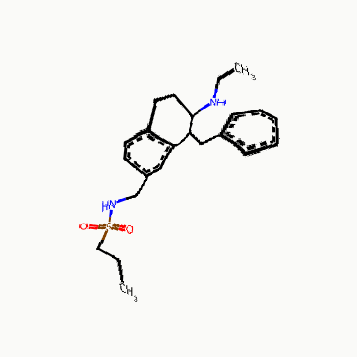 CCCS(=O)(=O)NCc1ccc2c(c1)C(Cc1ccccc1)C(NCC)CC2